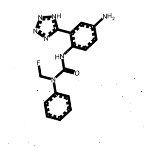 Nc1ccc(NC(=O)N(CF)c2ccccc2)c(-c2nnn[nH]2)c1